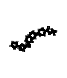 CC(C)(C)OC(=O)N1CC=C(c2cnc3ccc(Nc4nnc(C5CCCC5)s4)nc3c2)CC1